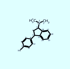 CN(C)C1CC(c2ccc(I)cc2)c2ccccc21